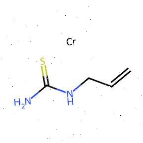 C=CCNC(N)=S.[Cr]